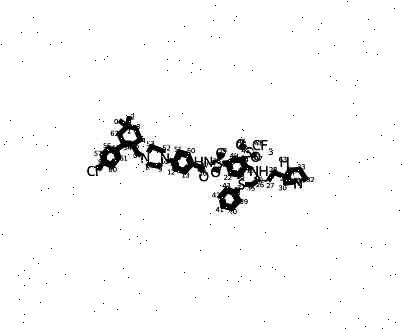 CC1(C)CCC(CN2CCN(c3ccc(C(=O)NS(=O)(=O)c4ccc(N[C@H](CCC5C[N@]6CC[C@@H]5C6)CSc5ccccc5)c(S(=O)(=O)C(F)(F)F)c4)cc3)CC2)=C(c2ccc(Cl)cc2)C1